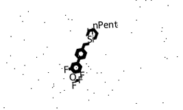 CCCCC[C@H]1CC[Si@H](CCc2ccc(-c3cc(F)c(OC(F)F)c(F)c3)cc2)CC1